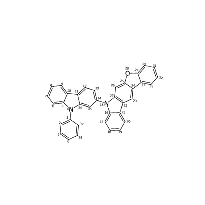 c1ccc(-n2c3ccccc3c3ccc(-n4c5ccccc5c5cc6c(cc54)oc4ccccc46)cc32)cc1